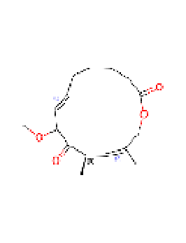 COC1/C=C/CCCCC(=O)OC/C(C)=C\[C@@H](C)C1=O